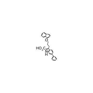 O=C(O)c1[nH]c2cc(-c3ccccc3)ccc2c1CCCOc1cccc2ccccc12